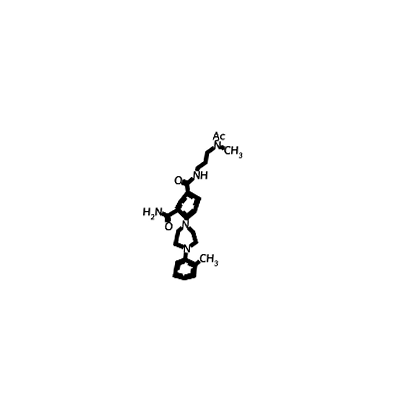 CC(=O)N(C)CCCNC(=O)c1ccc(N2CCN(c3ccccc3C)CC2)c(C(N)=O)c1